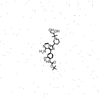 COc1cc(-c2nc(C3CCCN(C(C)(C)C(O)CO)C3)n3ccnc(N)c23)ccc1NC(=O)OC(C)(C)C